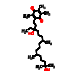 CCC(O)(CCCC(C)CCCC(C)CCCC(C)(C)O)CCC1=C(C)C(=O)C(C)=C(C)C1=O